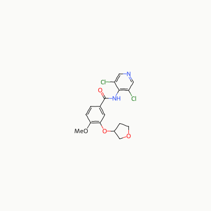 COc1ccc(C(=O)Nc2c(Cl)cncc2Cl)cc1OC1CCOC1